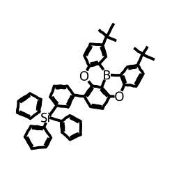 CC(C)(C)c1ccc2c(c1)B1c3cc(C(C)(C)C)ccc3Oc3c(-c4cccc([Si](c5ccccc5)(c5ccccc5)c5ccccc5)c4)ccc(c31)O2